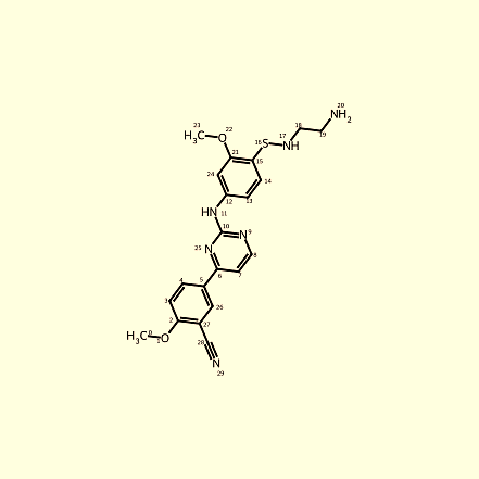 COc1ccc(-c2ccnc(Nc3ccc(SNCCN)c(OC)c3)n2)cc1C#N